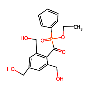 CCOP(=O)(C(=O)c1c(CO)cc(CO)cc1CO)c1ccccc1